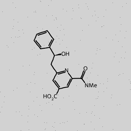 CNC(=O)c1cc(C(=O)O)cc(C[C@H](O)c2ccccc2)n1